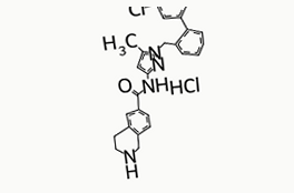 Cc1cc(NC(=O)c2ccc3c(c2)CCNC3)nn1Cc1ccccc1-c1cccc(Cl)c1.Cl